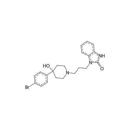 O=c1[nH]c2ccccc2n1CCCN1CCC(O)(c2ccc(Br)cc2)CC1